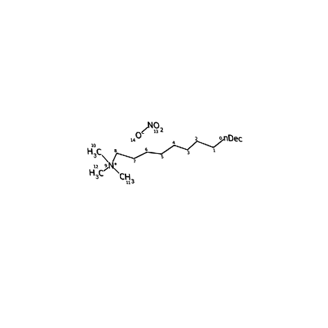 CCCCCCCCCCCCCCCCCC[N+](C)(C)C.O=[N+]([O-])[O-]